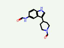 O=CNc1ccc2[nH]cc(C3CCN(C=O)CC3)c2c1